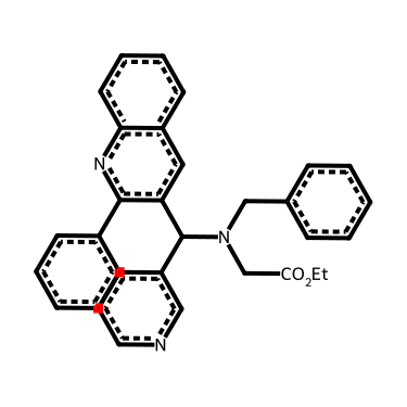 CCOC(=O)CN(Cc1ccccc1)C(c1cccnc1)c1cc2ccccc2nc1-c1ccccc1